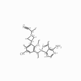 COc1c(C(C)n2nc(C)c3c(N)ncnc32)cc(Cl)c(C)c1C1CN(C(C)C#N)C1